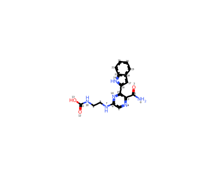 NC(=O)c1ncc(NCCNC(=O)O)nc1-c1cc2ccccc2[nH]1